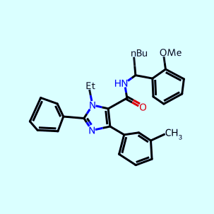 CCCCC(NC(=O)c1c(-c2cccc(C)c2)nc(-c2ccccc2)n1CC)c1ccccc1OC